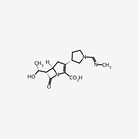 CN=CN1CC[C@@H](C2=C(C(=O)O)N3C(=O)[C@H]([C@@H](C)O)[C@H]3C2)C1